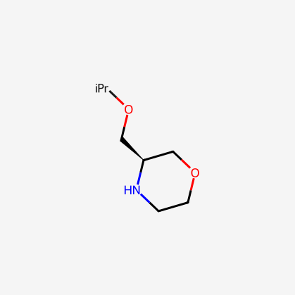 CC(C)OC[C@H]1COCCN1